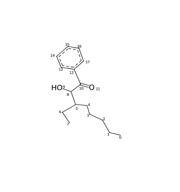 CCCCCC(CC)C(O)C(=O)c1ccccc1